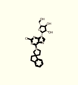 OC[C@H]1O[C@@H](n2cnc3c(N4CCC5(CCc6ccccc65)C4)nc(Cl)nc32)[C@@H](O)C1O